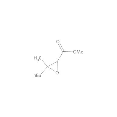 CCCCC1(C)OC1C(=O)OC